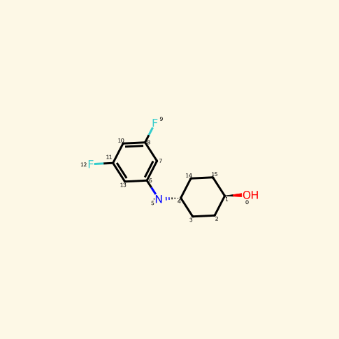 O[C@H]1CC[C@H]([N]c2cc(F)cc(F)c2)CC1